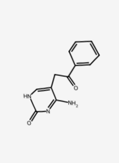 Nc1nc(=O)[nH]cc1CC(=O)c1ccccc1